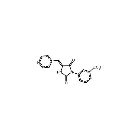 O=C(O)c1cccc(N2C(=O)N/C(=C\c3ccncc3)C2=O)c1